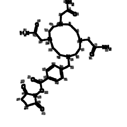 NC(=O)CN1CCN(CC(N)=O)CCN(Cc2ccc(C(=O)ON3C(=O)CCC3=O)cc2)CCN(CC(N)=O)CC1